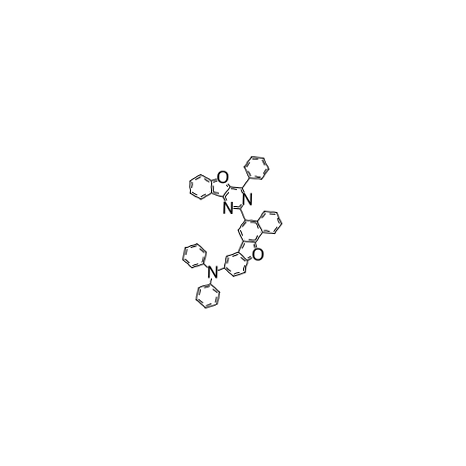 c1ccc(-c2nc(-c3cc4c5cc(N(c6ccccc6)c6ccccc6)ccc5oc4c4ccccc34)nc3c2oc2ccccc23)cc1